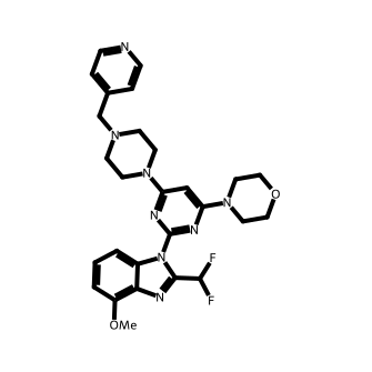 COc1cccc2c1nc(C(F)F)n2-c1nc(N2CCOCC2)cc(N2CCN(Cc3ccncc3)CC2)n1